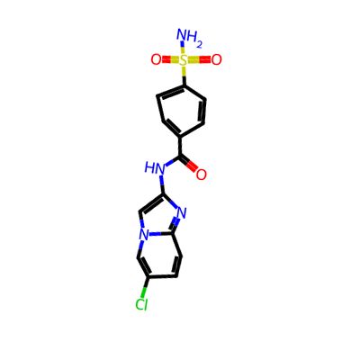 NS(=O)(=O)c1ccc(C(=O)Nc2cn3cc(Cl)ccc3n2)cc1